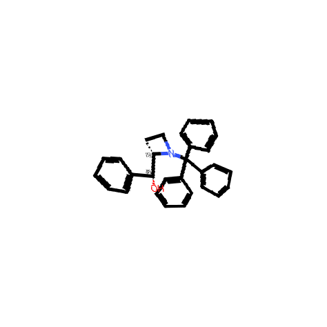 O[C@H](c1ccccc1)[C@@H]1CCN1C(c1ccccc1)(c1ccccc1)c1ccccc1